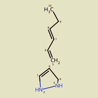 C1=CNNC1.C=CC=CCC